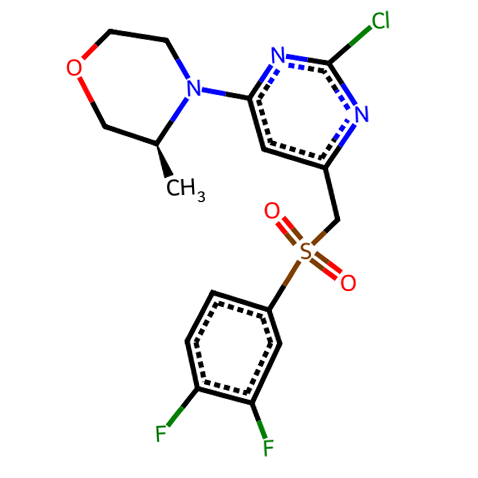 C[C@H]1COCCN1c1cc(CS(=O)(=O)c2ccc(F)c(F)c2)nc(Cl)n1